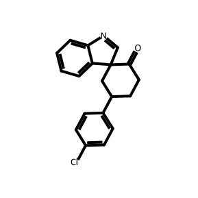 O=C1CCC(c2ccc(Cl)cc2)CC12C=Nc1ccccc12